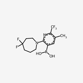 Cc1cc(B(O)O)c(N2CCCC(F)(F)CC2)nc1C(F)(F)F